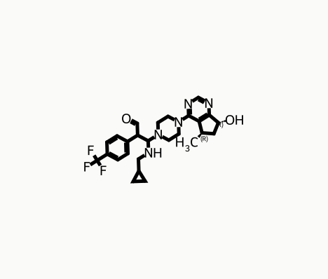 C[C@@H]1C[C@@H](O)c2ncnc(N3CCN(C(NCC4CC4)C(C=O)c4ccc(C(F)(F)F)cc4)CC3)c21